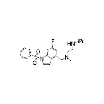 CC(C)NCCN(C)Cc1cc(F)cc2c1ccn2S(=O)(=O)c1ccccc1